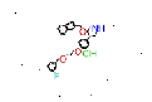 Cl.Fc1cccc(COCCCOc2ccc(C3CCNCC3OCc3ccc4ccccc4c3)cc2)c1